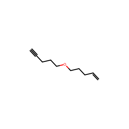 C#CCCCOCCCC=C